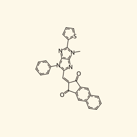 Cn1c(-c2cccs2)nc2c1nc(C=C1C(=O)c3cc4ccccc4cc3C1=O)n2-c1ccccc1